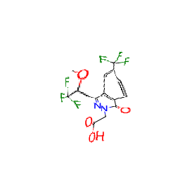 COC(c1nn(CC(=O)O)c(=O)c2ccc(C(F)(F)F)cc12)C(F)(F)F